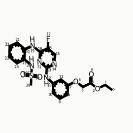 CCOC(=O)COc1cccc(Nc2ncc(F)c(Nc3ccccc3NS(C)(=O)=O)n2)c1